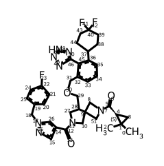 CC1(C)C[C@@H]1C(=O)N1CC2(CN(C(=O)c3cnn(Cc4ccc(F)cc4)c3)CC2COCc2cccc(C3CCC(F)(F)CC3)c2-c2nn[nH]n2)C1